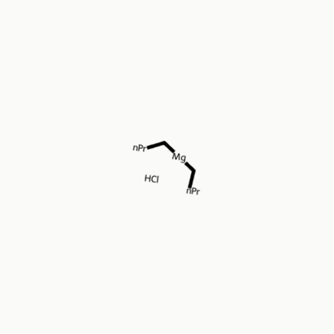 CCC[CH2][Mg][CH2]CCC.Cl